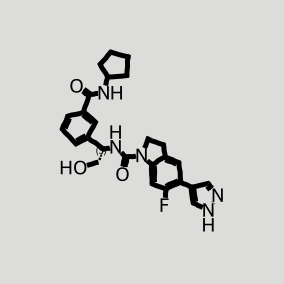 O=C(NC1CCCC1)c1cccc([C@@H](CO)NC(=O)N2CCc3cc(-c4cn[nH]c4)c(F)cc32)c1